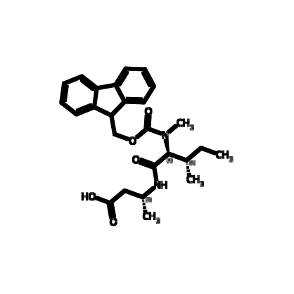 CC[C@H](C)[C@@H](C(=O)N[C@H](C)CC(=O)O)N(C)C(=O)OCC1c2ccccc2-c2ccccc21